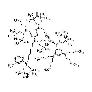 CCCCN(CCCC)c1cc(N(CCCC)CCCC)cc(N(CCCCCCN(c2cc(N(CCCC)C3CC(C)(C)NC(C)(C)C3)cc(N(CCCCCCN(c3ncnc(C)n3)C3CC(C)(C)NC(C)(C)C3)C3CC(C)(C)NC(C)(C)C3)c2)C2CC(C)(C)NC(C)(C)C2)C2CC(C)(C)NC(C)(C)C2)c1